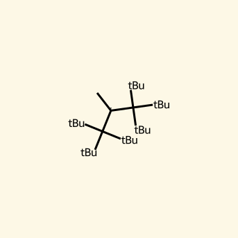 C[C](C(C(C)(C)C)(C(C)(C)C)C(C)(C)C)C(C(C)(C)C)(C(C)(C)C)C(C)(C)C